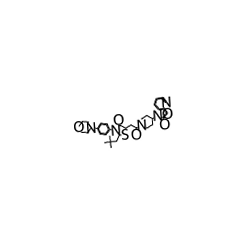 CC(C)(C)CC1SC(CC(=O)N2CCC(n3c(=O)oc4ncccc43)CC2)C(=O)N1c1ccc(N2CCOCC2)cc1